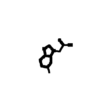 Cc1ccc2ncn(CC(=O)O)c2c1